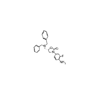 Nc1ccc(N2C[C@H](CN(Cc3ccccc3)Cc3ccccc3)OC2=O)cc1F